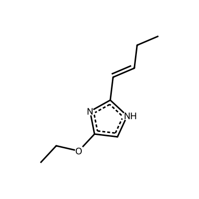 CCC=Cc1nc(OCC)c[nH]1